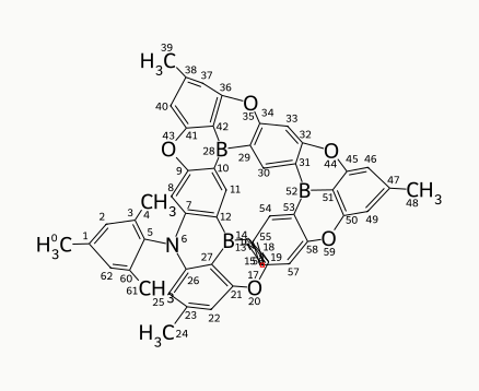 Cc1cc(C)c(N2c3cc4c(cc3B3c5ccccc5Oc5cc(C)cc2c53)B2c3cc5c(cc3Oc3cc(C)cc(c32)O4)Oc2cc(C)cc3c2B5c2ccccc2O3)c(C)c1